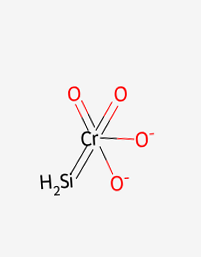 [O]=[Cr](=[O])([O-])([O-])=[SiH2]